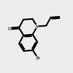 C=CCN1CCC(=O)c2ccc(Br)cc21